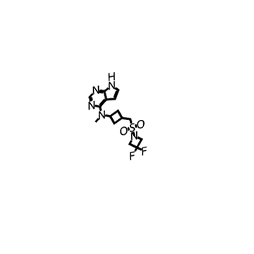 CN(c1ncnc2[nH]ccc12)C1CC(CS(=O)(=O)N2CC(F)(F)C2)C1